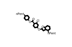 CCCCCc1ccc(OC(=O)c2ccc(Oc3cc4c(CCCCC)cccc4o3)cc2Cl)cc1